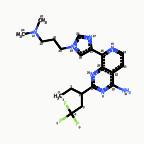 CCC(CC(F)(F)F)c1nc(N)c2ccnc(-c3cn(CCCN(C)C)cn3)c2n1